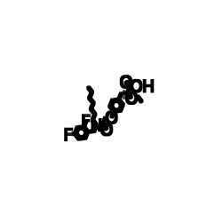 CCCCCCCN(Cc1ccc(F)cc1F)C(=O)COc1ccc(C[C@H](OCC)C(=O)O)cc1